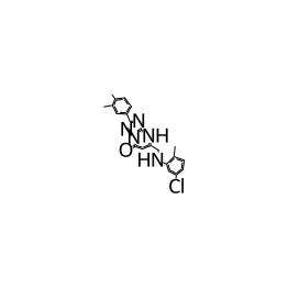 Cc1ccc(-c2nc3[nH]c(CNc4cc(Cl)ccc4C)cc(=O)n3n2)cc1C